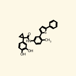 Cc1ccc(NC(=O)C2(c3ccc(O)c(O)c3)CC2)cc1-c1ccc(-c2ccccc2)s1